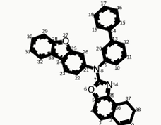 C1=Cc2ccc3oc(N(c4cccc(-c5ccccc5)c4)c4ccc5c(c4)oc4ccccc45)nc3c2CC1